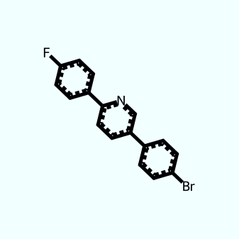 Fc1ccc(-c2ccc(-c3ccc(Br)cc3)cn2)cc1